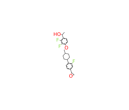 CC(O)c1ccc(OCC2CCC(c3ccc(C4CO4)cc3F)CC2)c(F)c1F